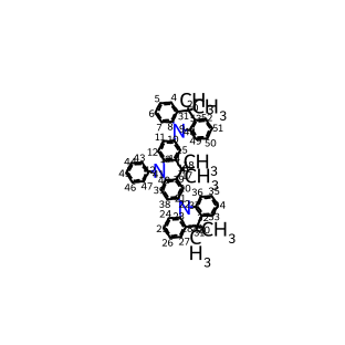 CC1(C)c2ccccc2N(c2ccc3c(c2)C(C)(C)c2cc(N4c5ccccc5C(C)(C)c5ccccc54)ccc2N3c2ccccc2)c2ccccc21